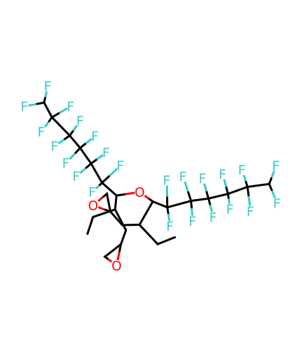 CCC(CC1CO1)C(OC(C(CC)CC1CO1)C(F)(F)C(F)(F)C(F)(F)C(F)(F)C(F)(F)C(F)F)C(F)(F)C(F)(F)C(F)(F)C(F)(F)C(F)(F)C(F)F